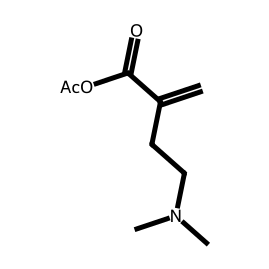 C=C(CCN(C)C)C(=O)OC(C)=O